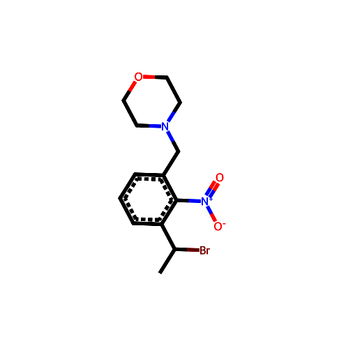 CC(Br)c1cccc(CN2CCOCC2)c1[N+](=O)[O-]